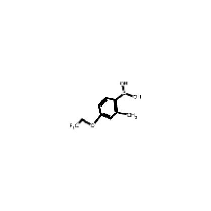 Cc1cc(OCC(F)(F)F)ccc1B(O)O